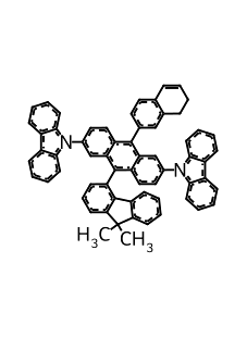 CC1(C)c2ccccc2-c2c(-c3c4ccc(-n5c6ccccc6c6ccccc65)cc4c(-c4ccc5c(c4)CCC=C5)c4ccc(-n5c6ccccc6c6ccccc65)cc34)cccc21